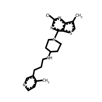 Cc1ccncc1CCCNC1CCN(c2nc(Cl)nc3c(C)csc23)CC1